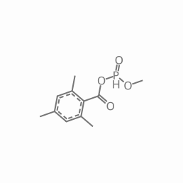 CO[PH](=O)OC(=O)c1c(C)cc(C)cc1C